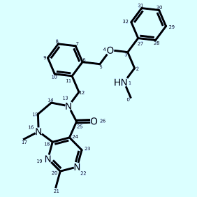 CNCC(OCc1ccccc1CN1CCN(C)c2nc(C)ncc2C1=O)c1ccccc1